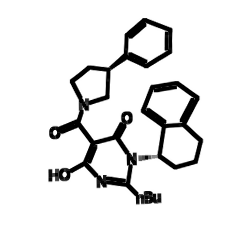 CCCCc1nc(O)c(C(=O)N2CC[C@@H](c3ccccc3)C2)c(=O)n1[C@H]1CCCc2ccccc21